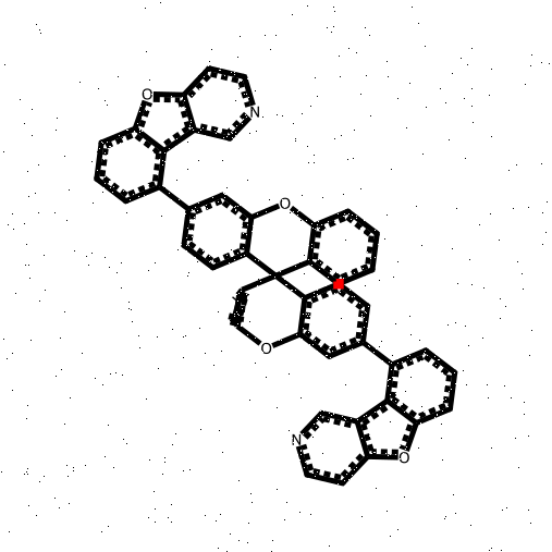 c1ccc2c(c1)Oc1cc(-c3cccc4oc5ccncc5c34)ccc1C21c2ccccc2Oc2cc(-c3cccc4oc5ccncc5c34)ccc21